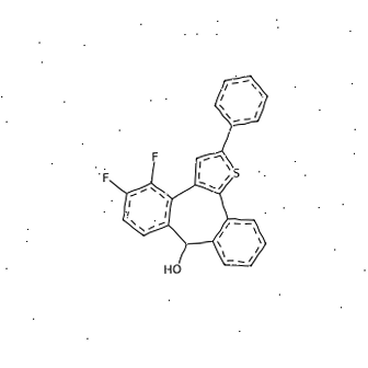 OC1c2ccccc2-c2sc(-c3ccccc3)cc2-c2c1ccc(F)c2F